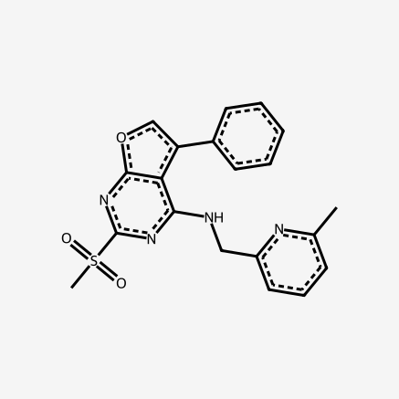 Cc1cccc(CNc2nc(S(C)(=O)=O)nc3occ(-c4ccccc4)c23)n1